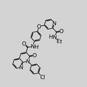 CCNC(=O)c1cc(Oc2ccc(NC(=O)c3cc4cccnc4n(-c4ccc(Cl)cc4)c3=O)cc2)ccn1